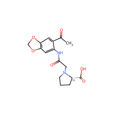 CC(=O)c1cc2c(cc1NC(=O)CN1CCC[C@H]1C(=O)O)OCO2